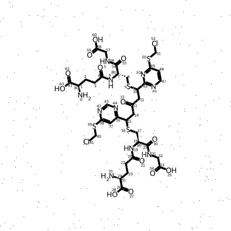 N[C@H](CCC(=O)N[C@@H](CSC(CC(=O)CC(SC[C@H](NC(=O)CC[C@H](N)C(=O)O)C(=O)NCC(=O)O)c1cc(SCCl)ncn1)c1nccc(SCCl)n1)C(=O)NCC(=O)O)C(=O)O